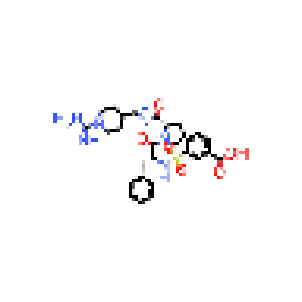 N=C(N)N1CCC(CNC(=O)[C@@H]2CCCN2C(=O)[C@@H](Cc2ccccc2)NS(=O)(=O)c2cccc(C(=O)O)c2)CC1